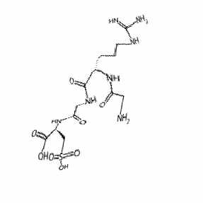 N=C(N)NCCC[C@H](NC(=O)CN)C(=O)NCC(=O)N[C@@H](CS(=O)(=O)O)C(=O)O